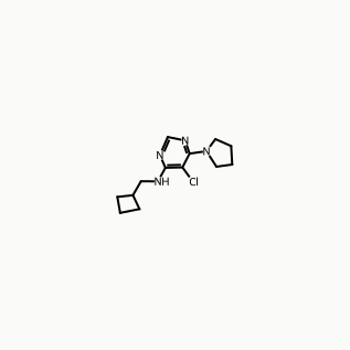 Clc1c(NCC2CCC2)ncnc1N1CCCC1